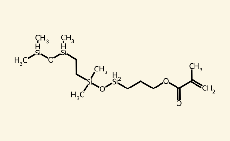 C=C(C)C(=O)OCCC[SiH2]O[Si](C)(C)CC[SiH](C)O[SiH](C)C